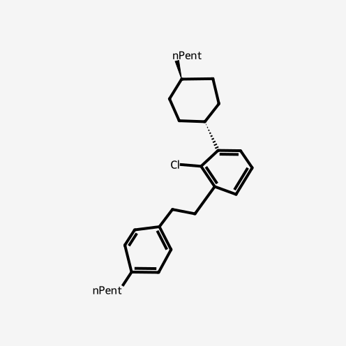 CCCCCc1ccc(CCc2cccc([C@H]3CC[C@H](CCCCC)CC3)c2Cl)cc1